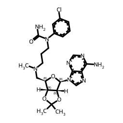 CN(CCCN(C(N)=O)c1cccc(Cl)c1)C[C@H]1O[C@@H](n2cnc3c(N)ncnc32)[C@@H]2OC(C)(C)O[C@@H]21